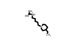 CCC1CCCN(CCCCCNC(=N)N)CC1